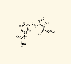 COC(=O)c1sccc1C=Cc1cccc(NC(=O)C(C)(C)C)c1